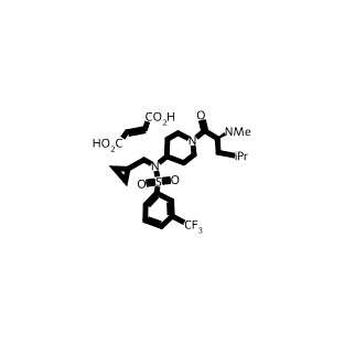 CN[C@@H](CC(C)C)C(=O)N1CCC(N(CC2CC2)S(=O)(=O)c2cccc(C(F)(F)F)c2)CC1.O=C(O)/C=C/C(=O)O